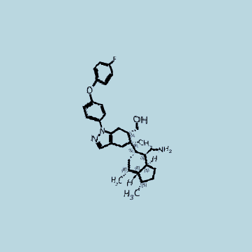 C[C@@H]1C[C@H]([C@@]2(C)Cc3cnn(-c4ccc(Oc5ccc(F)cc5)cc4)c3C[C@@H]2CO)[C@@H](CN)[C@H]2CC[C@H](C)[C@@H]21